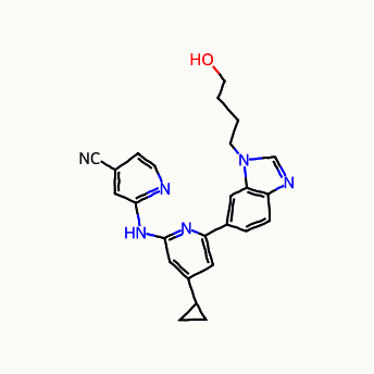 N#Cc1ccnc(Nc2cc(C3CC3)cc(-c3ccc4ncn(CCCCO)c4c3)n2)c1